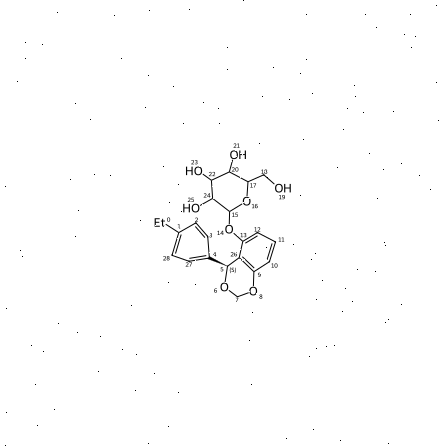 CCc1ccc([C@@H]2OCOc3cccc(OC4OC(CO)C(O)C(O)C4O)c32)cc1